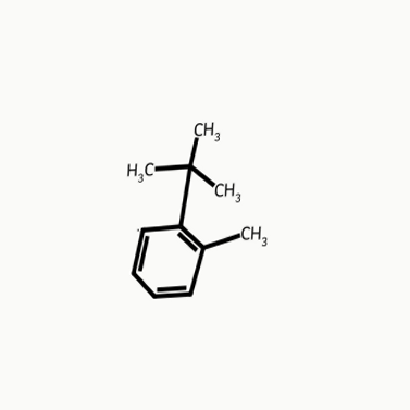 Cc1ccc[c]c1C(C)(C)C